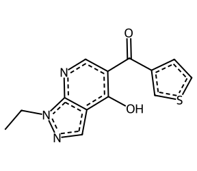 CCn1ncc2c(O)c(C(=O)c3ccsc3)cnc21